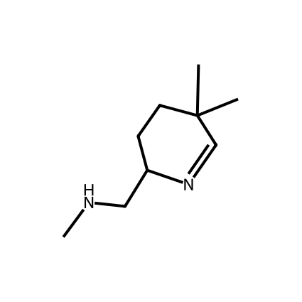 CNCC1CCC(C)(C)C=N1